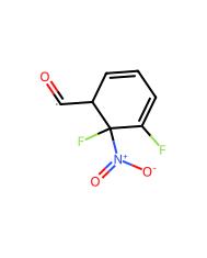 O=[C]C1C=CC=C(F)C1(F)[N+](=O)[O-]